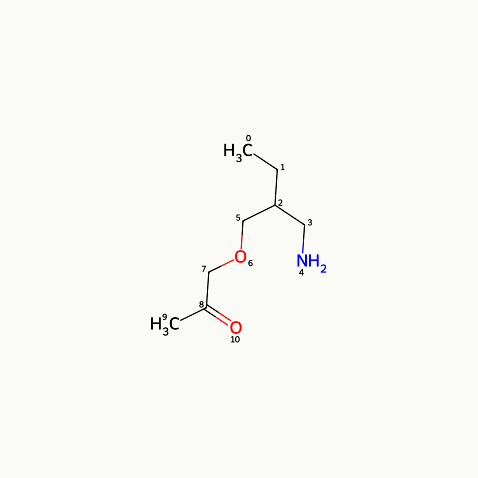 CCC(CN)COCC(C)=O